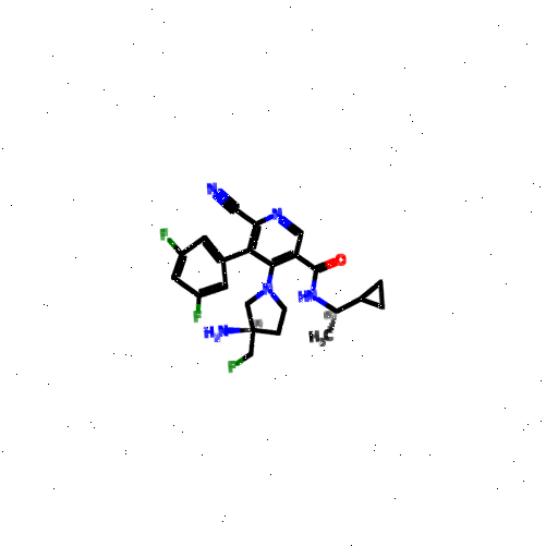 C[C@H](NC(=O)c1cnc(C#N)c(-c2cc(F)cc(F)c2)c1N1CC[C@](N)(CF)C1)C1CC1